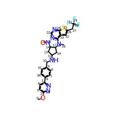 COc1ccc(-c2ccc(CNC3CC(N=O)C(N(C)c4ncnc5sc(CC(F)(F)F)cc45)C3)cc2)nn1